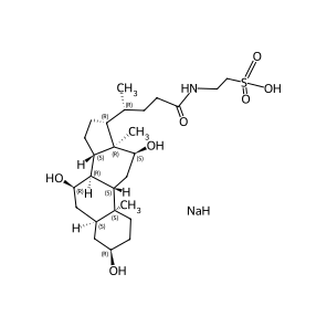 C[C@H](CCC(=O)NCCS(=O)(=O)O)[C@H]1CC[C@H]2[C@@H]3[C@H](O)C[C@@H]4C[C@H](O)CC[C@]4(C)[C@H]3C[C@H](O)[C@]12C.[NaH]